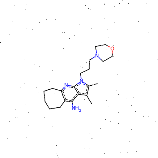 Cc1c(C)n(CCCN2CCOCC2)c2nc3c(c(N)c12)CCCCC3